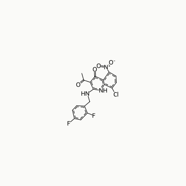 CC(=O)c1c(NCc2ccc(F)cc2F)[nH]c2c(Cl)ccc([N+](=O)[O-])c2c1=O